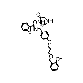 COc1ccccc1COCCCOc1ccc(C(NC(=O)c2ccccc2F)[C@H]2CNCC(=O)N2)cc1